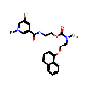 CC[n+]1cc(Br)cc(C(=O)NCCOC(=O)N(C)CCOc2cccc3ccccc23)c1.[I-]